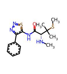 CN[C@H](C(=O)Nc1snnc1-c1ccccc1)C(C)(C)SC